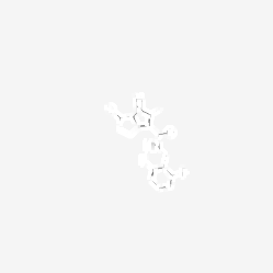 Cc1[nH]c2c(c1C(=O)NCc1c(F)cccc1F)CCC2=O